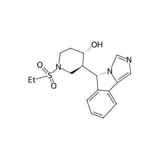 CCS(=O)(=O)N1CC[C@H](O)[C@@H]([C@H]2c3ccccc3-c3cncn32)C1